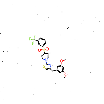 COc1cc(Cc2csc(N3CCC(S(=O)(=O)c4cccc(C(F)(F)F)c4)CC3)n2)cc(OC)c1